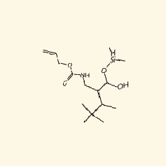 C=CCOC(=O)NCC(C(O)O[SiH](C)C)C(C)C(C)(C)C